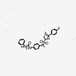 CN1CC(S(=O)(=O)N(C)c2ccc(NC(=O)Nc3ccccc3)cc2)N=C1c1ccc(F)cc1